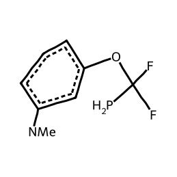 CNc1cccc(OC(F)(F)P)c1